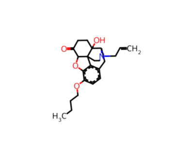 C=CCN1CCC23c4c5ccc(OCCCC)c4OC2C(=O)CCC3(O)C1C5